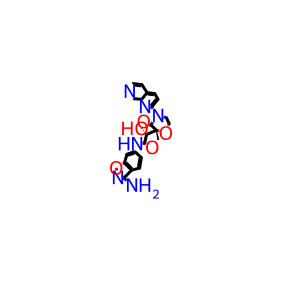 C[C@]1([C@@H](O)C(=O)Nc2ccc3c(N)noc3c2)OCCN(c2ccc3ccncc3n2)C1=O